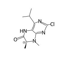 CC(C)c1nc(Cl)nc2c1NC(=O)[C@H](C)N2C